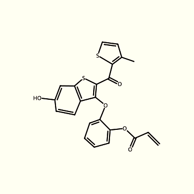 C=CC(=O)Oc1ccccc1Oc1c(C(=O)c2sccc2C)sc2cc(O)ccc12